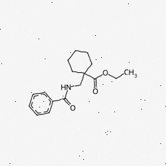 CCOC(=O)C1(CNC(=O)c2ccccc2)CCCCC1